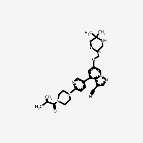 C=C(C)C(=O)N1CCN(c2ccc(-c3cc(OC[C@@H]4CNC(C)(C)CO4)cn4ncc(C#N)c34)cn2)CC1